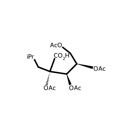 CC(=O)OC[C@@H](OC(C)=O)[C@@H](OC(C)=O)[C@](CC(C)C)(OC(C)=O)C(=O)O